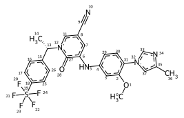 COc1cc(Nc2cc(C#N)cn([C@@H](C)c3ccc(S(F)(F)(F)(F)F)cc3)c2=O)ccc1-n1cnc(C)c1